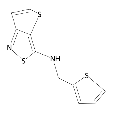 c1csc(CNc2snc3ccsc23)c1